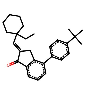 CCC1(/C=C2\Cc3c(cccc3-c3ccc(C(C)(C)C)cc3)C2=O)CCCCC1